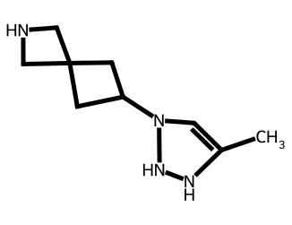 CC1=CN(C2CC3(CNC3)C2)NN1